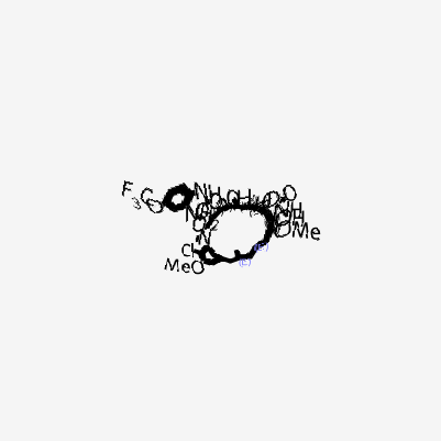 COc1cc2cc(c1Cl)N(C)C(=O)C[C@H](OC(=O)Nc1ccc(OC(F)(F)F)cc1N)[C@]1(C)O[C@H]1[C@H](C)[C@@H]1C[C@@](O)(NC(=O)O1)[C@H](OC)/C=C/C=C(\C)C2